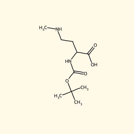 CNCCC(NC(=O)OC(C)(C)C)C(=O)O